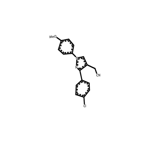 COc1ccc(-n2cc(CC#N)c(-c3ccc(Cl)cc3)n2)cc1